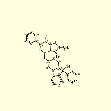 CN1CC(C(=O)N(CCCN2CCC(C(O)(c3ccccc3)c3ccccc3)CC2)c2ccccc2)CC1=O